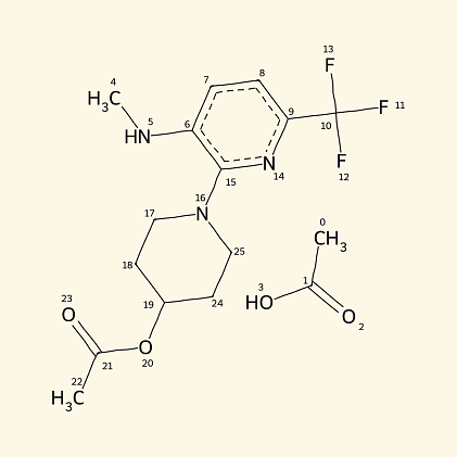 CC(=O)O.CNc1ccc(C(F)(F)F)nc1N1CCC(OC(C)=O)CC1